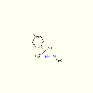 CC(C)(NNC=O)c1ccc(I)cc1